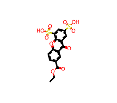 CCOC(=O)c1ccc2oc3c(S(=O)(=O)O)cc(S(=O)(=O)O)cc3c(=O)c2c1